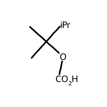 CC(C)C(C)(C)OC(=O)O